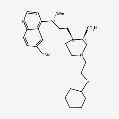 CN[C@H](CC[C@@H]1CCN(CCSC2CCCCC2)C[C@@H]1C(=O)O)c1ccnc2ccc(OC)cc12